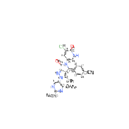 CNc1ncc(-n2nc3c(c2C(C)C)C(c2ccc(C#N)cc2)N(c2c[nH]c(=O)c(Cl)c2)C3=O)c(OC)n1